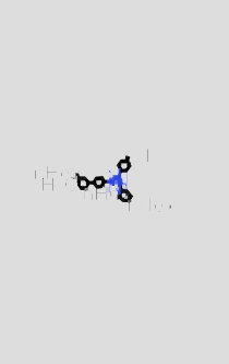 CCCCCCc1ccc(-c2nc(-c3ccc(C)cc3)nc(-c3ccc(-c4cc(CCCCCC)c(C)cc4CCCCCC)cc3)n2)cc1